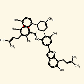 CC(C)=CCc1c(O)ccc(C(=O)[C@H]2[C@@H](c3c(O)cc(-c4cc5ccc(O)c(CC=C(C)C)c5o4)cc3O)C=C(C)C[C@@H]2c2ccc(O)cc2O)c1O